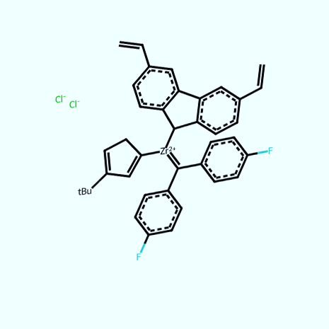 C=Cc1ccc2c(c1)-c1cc(C=C)ccc1[CH]2[Zr+2]([C]1=CC(C(C)(C)C)=CC1)=[C](c1ccc(F)cc1)c1ccc(F)cc1.[Cl-].[Cl-]